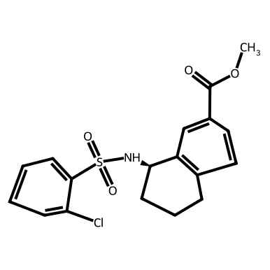 COC(=O)c1ccc2c(c1)[C@H](NS(=O)(=O)c1ccccc1Cl)CCC2